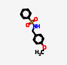 COc1ccc(CNS(=O)(=O)c2ccccc2)cc1